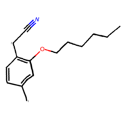 [CH]c1ccc([C]C#N)c(OCCCCCC)c1